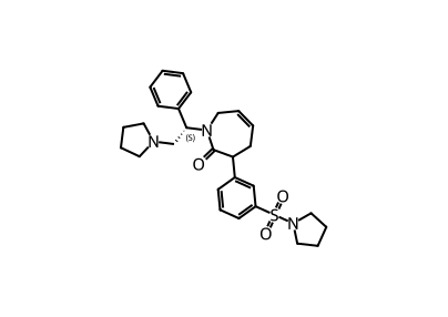 O=C1C(c2cccc(S(=O)(=O)N3CCCC3)c2)CC=CCN1[C@H](CN1CCCC1)c1ccccc1